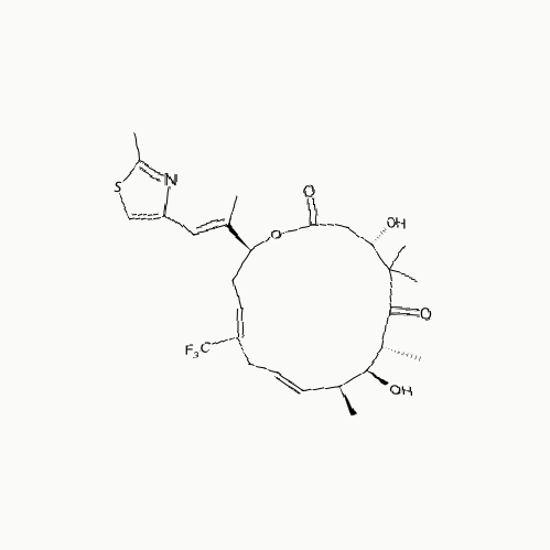 CC(=Cc1csc(C)n1)[C@@H]1C/C=C(\C(F)(F)F)C/C=C/[C@H](C)[C@H](O)[C@@H](C)C(=O)C(C)(C)[C@@H](O)CC(=O)O1